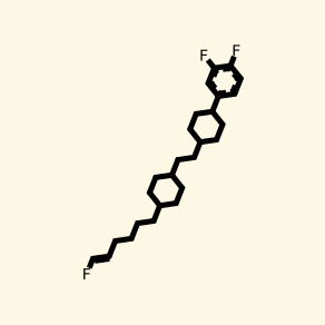 F/C=C/CCCCC1CCC(CCC2CCC(c3ccc(F)c(F)c3)CC2)CC1